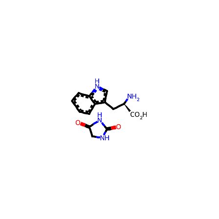 N[C@H](Cc1c[nH]c2ccccc12)C(=O)O.O=C1CNC(=O)N1